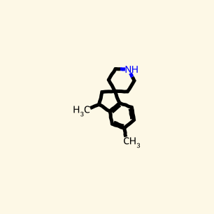 Cc1ccc2c(c1)C(C)CC21CCNCC1